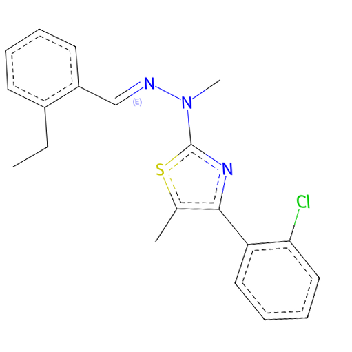 CCc1ccccc1/C=N/N(C)c1nc(-c2ccccc2Cl)c(C)s1